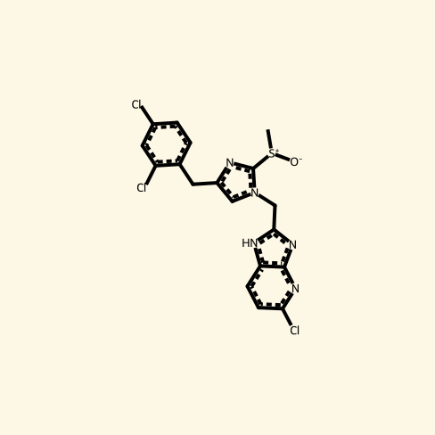 C[S+]([O-])c1nc(Cc2ccc(Cl)cc2Cl)cn1Cc1nc2nc(Cl)ccc2[nH]1